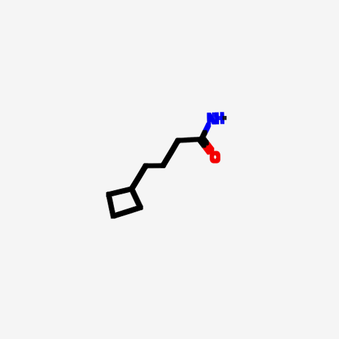 [NH]C(=O)CCCC1CCC1